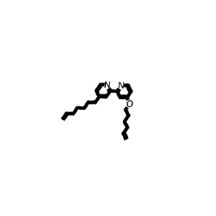 C=CCCCCCc1ccnc(-c2cc(OCCCCC=C)ccn2)c1